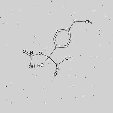 O=[PH](O)OC(O)(c1ccc(SC(F)(F)F)cc1)[PH](=O)O